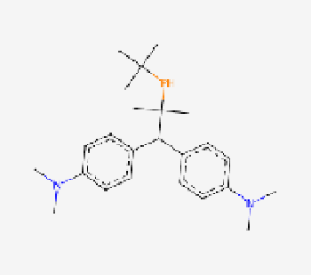 CN(C)c1ccc(C(c2ccc(N(C)C)cc2)C(C)(C)PC(C)(C)C)cc1